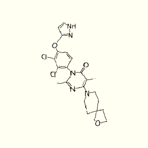 Cc1c(N2CCC3(CCOC3)CC2)nc(C)n(-c2ccc(Oc3cc[nH]n3)c(Cl)c2Cl)c1=O